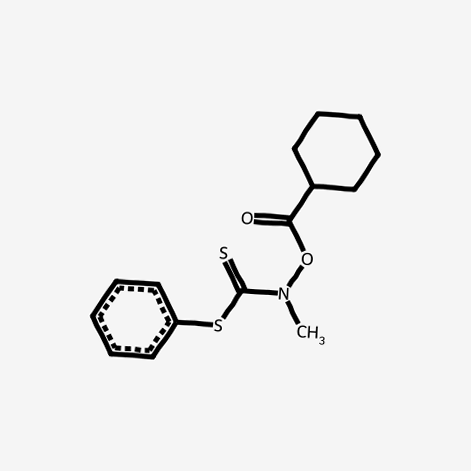 CN(OC(=O)C1CCCCC1)C(=S)Sc1ccccc1